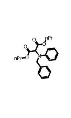 CCCOC(=O)C(C(=O)OCCC)N(Cc1ccccc1)c1ccccc1